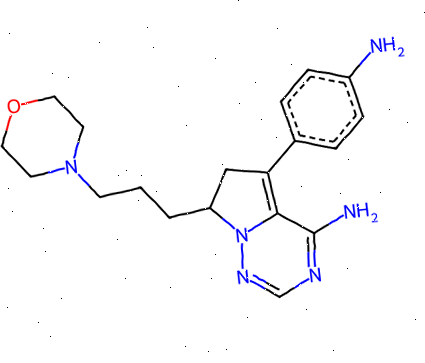 NC1=NC=NN2C1=C(c1ccc(N)cc1)CC2CCCN1CCOCC1